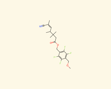 COCc1c(F)c(F)c(COC(=O)CC(C)(C)C(C)C=C(C)C#N)c(F)c1F